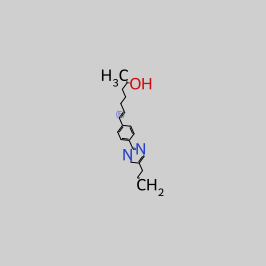 C=CCc1cnc(-c2ccc(/C=C/CCCC(C)O)cc2)nc1